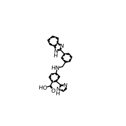 O=C(O)c1ccc(NCc2cccc(-c3nc4ccccc4[nH]3)c2)cc1-c1ncc[nH]1